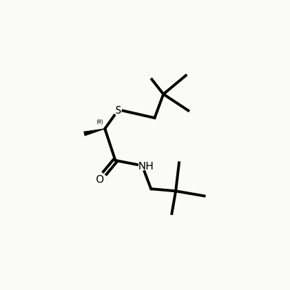 C[C@@H](SCC(C)(C)C)C(=O)NCC(C)(C)C